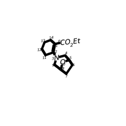 CCOC(=O)C1=C(N2CC3CCC(C2)O3)CCCC1